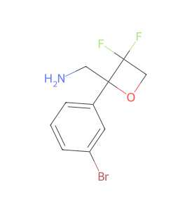 NCC1(c2cccc(Br)c2)OCC1(F)F